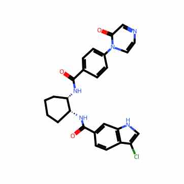 O=C(N[C@H]1CCCC[C@H]1NC(=O)c1ccc2c(Cl)c[nH]c2c1)c1ccc(-n2ccncc2=O)cc1